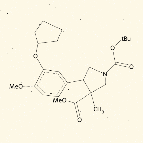 COC(=O)C1(C)CN(C(=O)OC(C)(C)C)CC1c1ccc(OC)c(OC2CCCC2)c1